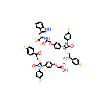 O=C(COc1ccc([C@@H]2[C@@H](SCC(O)c3ccc(F)cc3)C(=O)N2c2ccc(F)cc2)cc1)N[C@@H](Cc1c[nH]c2ccccc12)C(=O)O.O=C(O)COc1ccc([C@@H]2[C@@H](SCC(=O)c3ccc(F)cc3)C(=O)N2c2ccc(F)cc2)cc1